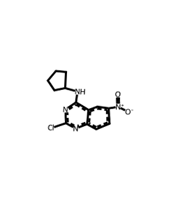 O=[N+]([O-])c1ccc2nc(Cl)nc(NC3CCCC3)c2c1